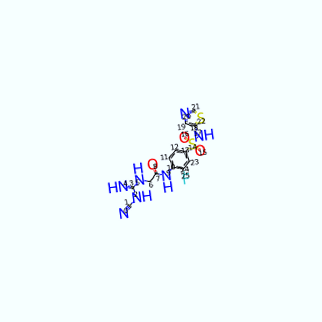 N#CNC(=N)NCC(=O)Nc1ccc(S(=O)(=O)Nc2cncs2)cc1F